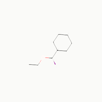 CCO[C@H](I)C1CCCCC1